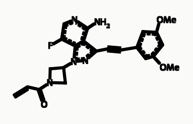 C=CC(=O)N1CC(n2nc(C#Cc3cc(OC)cc(OC)c3)c3c(N)ncc(F)c32)C1